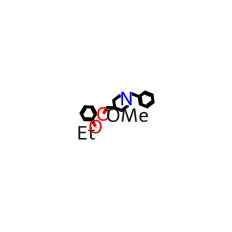 CCOc1ccccc1OCC1(OC)CCN(Cc2ccccc2)CC1